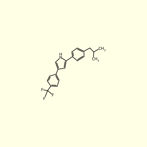 CC(C)Cc1ccc(-c2cc(-c3ccc(C(F)(F)F)cc3)c[nH]2)cc1